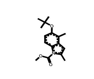 COC(=O)n1c(C)cc2c(C)c(OC(C)(C)C)ccc21